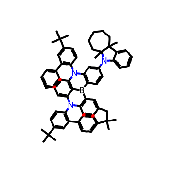 Cc1cc2c3c(c1)N(c1ccc(C(C)(C)C)cc1-c1ccccc1)c1cc4c(cc1B3c1ccc(N3c5ccccc5C5(C)CCCCCC35C)cc1N2c1ccc(C(C)(C)C)cc1-c1ccccc1)CC(C)(C)C4